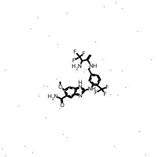 C=C(NCc1ccc(C(F)(F)F)c(Nc2nc3cc(C(N)=O)c(OC)cc3[nH]2)c1)C(N)C(F)(F)F